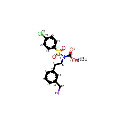 CC(C)(C)OC(=O)N(CCc1cccc(CI)c1)S(=O)(=O)c1ccc(Cl)cc1